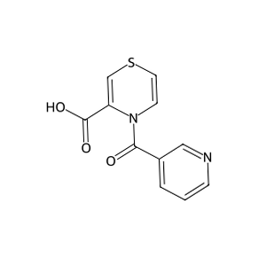 O=C(O)C1=CSC=CN1C(=O)c1cccnc1